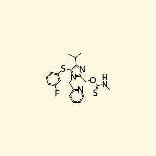 CNC(=S)OCc1nc(C(C)C)c(Sc2cccc(F)c2)n1Cc1ccccn1